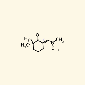 CN(C)/C=C1\CCCC(C)(C)C1=O